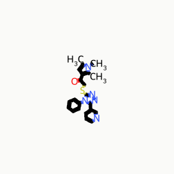 Cc1cc(C(=O)CSc2nnc(-c3cccnc3)n2-c2ccccc2)c(C)n1C